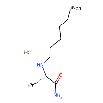 CCCCCCCCCCCCCCN[C@H](C(N)=O)C(C)C.Cl